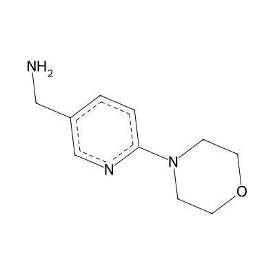 NCc1ccc(N2CCOCC2)nc1